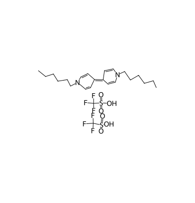 CCCCCCN1C=CC(=C2C=CN(CCCCCC)C=C2)C=C1.O=S(=O)(O)C(F)(F)F.O=S(=O)(O)C(F)(F)F